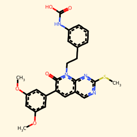 COc1cc(OC)cc(-c2cc3cnc(SC)nc3n(CCc3cccc(NC(=O)O)c3)c2=O)c1